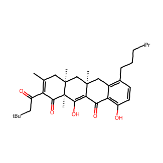 CC1=C(C(=O)CC(C)(C)C)C(=O)[C@]2(C)C(O)=C3C(=O)c4c(O)ccc(CCCC(C)C)c4C[C@]3(C)C[C@]2(C)C1